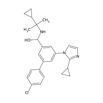 CC(C)(NC(O)c1cc(-c2ccc(Cl)cc2)cc(-n2ccnc2C2CC2)c1)C1CC1